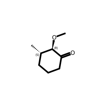 CO[C@H]1C(=O)CCC[C@@H]1C